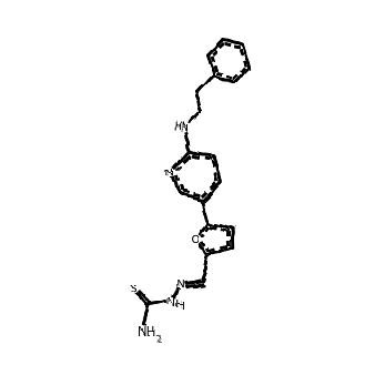 NC(=S)NN=Cc1ccc(-c2ccc(NCCc3ccccc3)nc2)o1